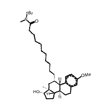 CCCCN(C)C(=O)CCCCCCCCCC[C@H]1C[C@]2(C)[C@@H](O)CC[C@H]2[C@@H]2CCc3cc(OC)ccc3[C@@H]12